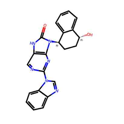 O=c1[nH]c2cnc(-n3cnc4ccccc43)nc2n1[C@@H]1CC[C@@H](O)c2ccccc21